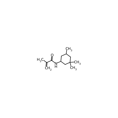 C=C(C)C(=O)NC1CC(C)CC(C)(C)C1